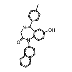 Cc1ccc(C2=NCC(=O)N(c3ccc4ccccc4c3)c3ccc(O)cc32)cc1